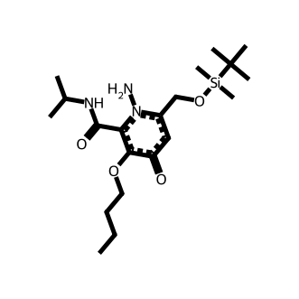 CCCCOc1c(C(=O)NC(C)C)n(N)c(CO[Si](C)(C)C(C)(C)C)cc1=O